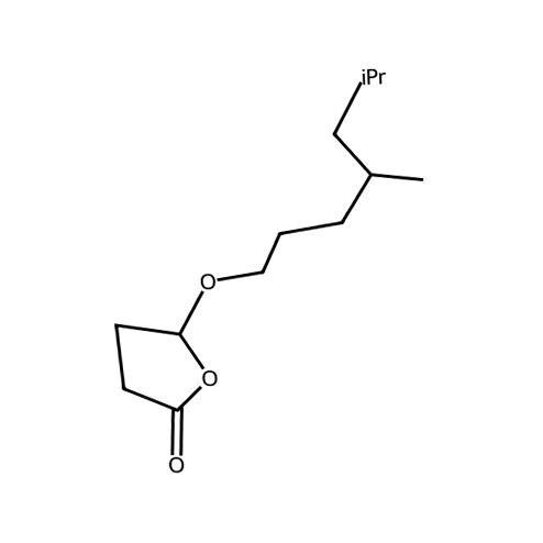 CC(C)CC(C)CCCOC1CCC(=O)O1